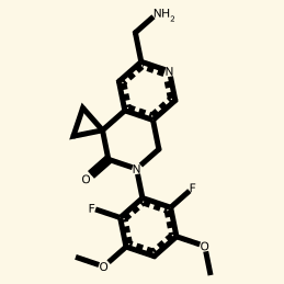 COc1cc(OC)c(F)c(N2Cc3cnc(CN)cc3C3(CC3)C2=O)c1F